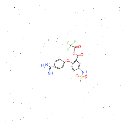 CS(=O)(=O)Nc1ccc(Oc2ccc(C(=N)N)cc2)c(C(=O)OC(=O)C(F)(F)F)c1